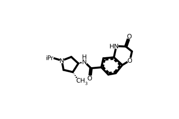 CC(C)N1C[C@@H](C)[C@@H](NC(=O)c2ccc3c(c2)NC(=O)CO3)C1